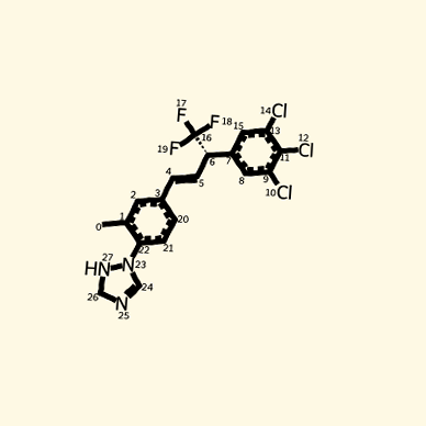 Cc1cc(/C=C/[C@@H](c2cc(Cl)c(Cl)c(Cl)c2)C(F)(F)F)ccc1N1C=NCN1